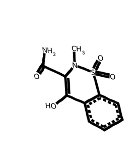 CN1C(C(N)=O)=C(O)c2ccccc2S1(=O)=O